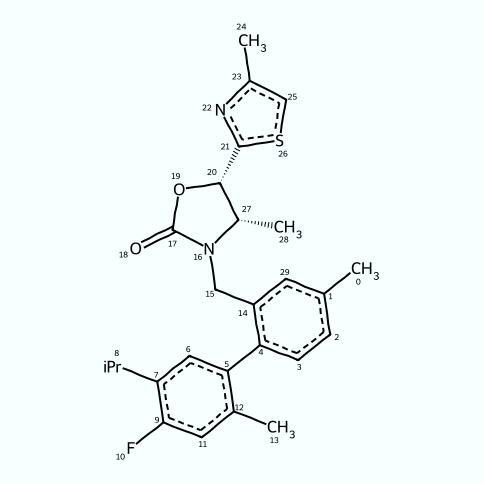 Cc1ccc(-c2cc(C(C)C)c(F)cc2C)c(CN2C(=O)O[C@H](c3nc(C)cs3)[C@@H]2C)c1